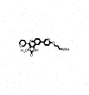 CNCCCOc1ccc(-c2ccc3nc([C@@H]4CCCOC4)c4c([nH]c(=O)n4C)c3c2)cn1